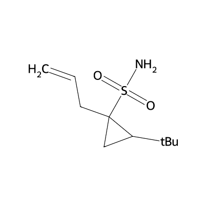 C=CCC1(S(N)(=O)=O)CC1C(C)(C)C